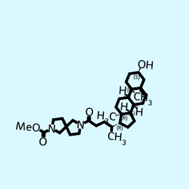 COC(=O)N1CCC2(CCN(C(=O)CCC(C)[C@H]3CC[C@H]4[C@@H]5CC=C6C[C@@H](O)CC[C@]6(C)[C@H]5CC[C@]34C)C2)C1